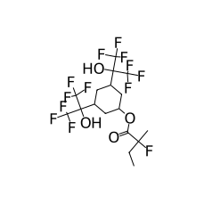 CCC(C)(F)C(=O)OC1CC(C(O)(C(F)(F)F)C(F)(F)F)CC(C(O)(C(F)(F)F)C(F)(F)F)C1